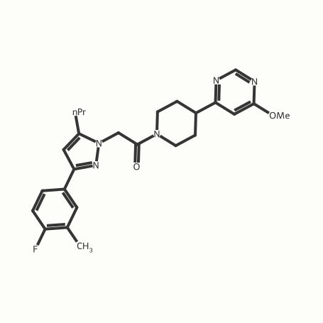 CCCc1cc(-c2ccc(F)c(C)c2)nn1CC(=O)N1CCC(c2cc(OC)ncn2)CC1